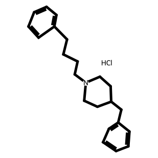 Cl.c1ccc(CCCCN2CCC(Cc3ccccc3)CC2)cc1